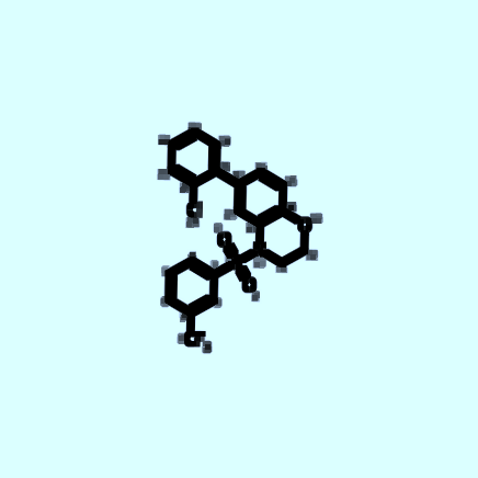 O=S(=O)(c1cccc(C(F)(F)F)c1)N1CCOc2ccc(-c3ccccc3Cl)cc21